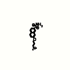 CN(C)CCCOc1ccc2ccc(S(N)(=O)=O)cc2c1